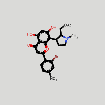 CC(=O)OCC1C(c2c(O)cc(O)c3c(=O)cc(-c4ccc([N+](=O)[O-])cc4Br)oc23)CCN1C